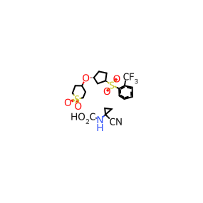 N#CC1(NC(=O)O)CC1.O=S1(=O)CCC(O[C@@H]2CC[C@@H](S(=O)(=O)c3ccccc3C(F)(F)F)C2)CC1